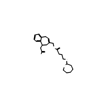 O=C(O)CC1CC(CNC(=O)CCCNC2CCCCCN2)=CCc2ccccc21